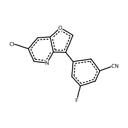 N#Cc1cc(F)cc(-c2coc3cc(Cl)cnc23)c1